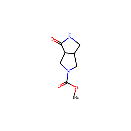 CC(C)(C)OC(=O)N1CC2CNC(=O)C2C1